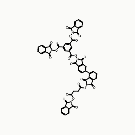 O=C(CCC(=O)ON1C(=O)c2cccc(-c3ccc4c(c3)C(=O)N(OC(=O)c3cc(C(=O)ON5C(=O)c6ccccc6C5=O)cc(C(=O)ON5C(=O)c6ccccc6C5=O)c3)C4=O)c2C1=O)ON1C(=O)c2ccccc2C1=O